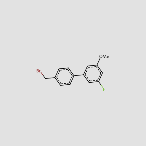 COc1cc(F)cc(-c2ccc(CBr)cc2)c1